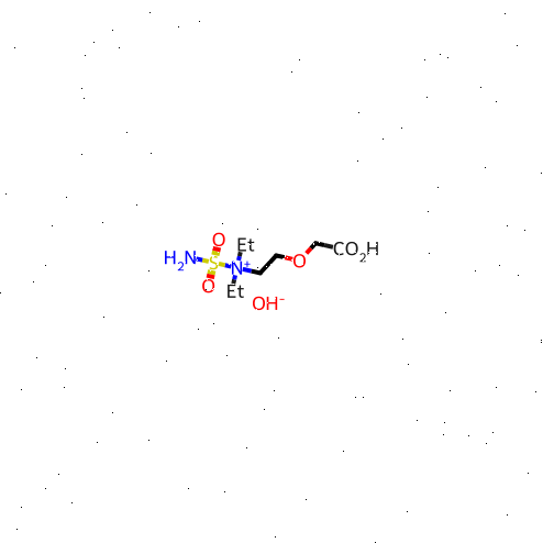 CC[N+](CC)(CCOCC(=O)O)S(N)(=O)=O.[OH-]